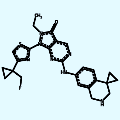 CCn1c(=O)c2cnc(Nc3ccc4c(c3)CNCC43CC3)nc2n1-c1nc(C2(CF)CC2)cs1